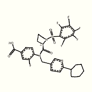 O=C(O)c1ccc(N(Cc2ccc(C3CCCCC3)nc2)C(=O)[C@H]2CCN2S(=O)(=O)c2c(F)c(F)c(F)c(F)c2F)c(F)c1